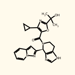 CC(C)(O)c1nc(C2CC2)c(C(=O)N2CCc3[nH]cnc3[C@H]2c2cc3ccccn3n2)o1